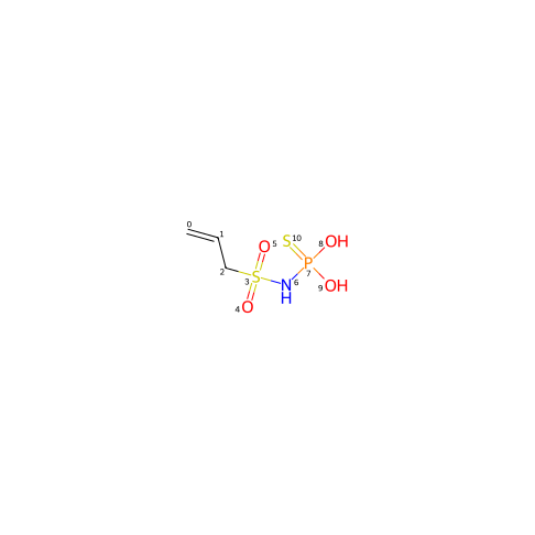 C=CCS(=O)(=O)NP(O)(O)=S